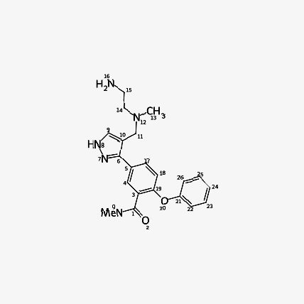 CNC(=O)c1cc(-c2n[nH]cc2CN(C)CCN)ccc1Oc1ccccc1